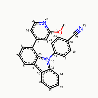 COc1cc(-c2cccc3c4ccccc4n(-c4ccc(C#N)cc4)c23)ccn1